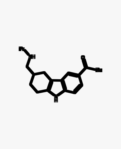 CCC(C)C(=O)c1ccc2[nH]c3c(c2c1)CC(CNC(C)C)CC3